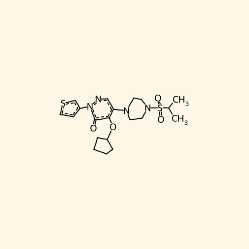 CC(C)S(=O)(=O)N1CCN(c2cnn(-c3ccsc3)c(=O)c2OC2CCCC2)CC1